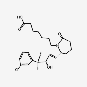 O=C(O)CCCCCCN1C(=O)CCC[C@@H]1C=C[C@@H](O)C(F)(F)c1cccc(Cl)c1